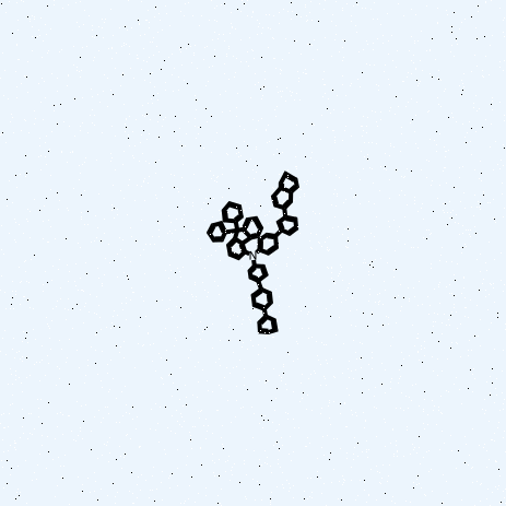 c1ccc(-c2ccc(-c3ccc(N(c4ccc(-c5cccc(-c6ccc7ccccc7c6)c5)cc4)c4cccc5c4-c4ccccc4C5(c4ccccc4)c4ccccc4)cc3)cc2)cc1